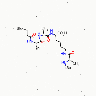 CC(C)[C@H](NC(=O)CCC(C)(C)C)C(=O)N[C@@H](C)C(=O)N[C@@H](CCCCNC(=O)[C@@H](C)NC(C)(C)C)C(=O)O